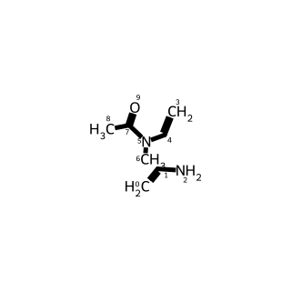 C=CN.C=CN(C)C(C)=O